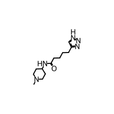 CN1CCC(NC(=O)CCCCc2c[nH]nn2)CC1